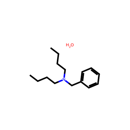 CCCCN(CCCC)Cc1ccccc1.O